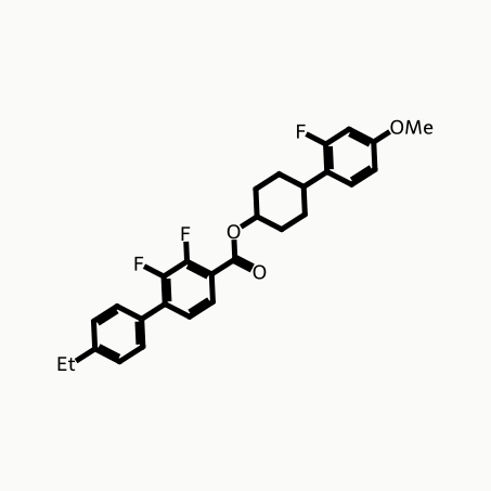 CCc1ccc(-c2ccc(C(=O)OC3CCC(c4ccc(OC)cc4F)CC3)c(F)c2F)cc1